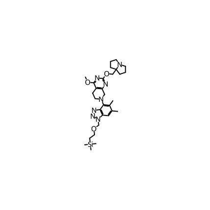 COc1nc(OCC23CCCN2CCC3)nc2c1CCN(c1c(C)c(C)cc3c1nnn3COCC[Si](C)(C)C)C2